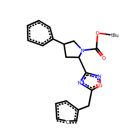 CC(C)(C)OC(=O)N1CC(c2ccccc2)CC1c1noc(Cc2ccccc2)n1